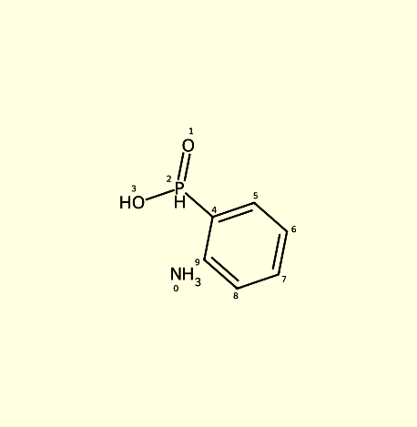 N.O=[PH](O)c1ccccc1